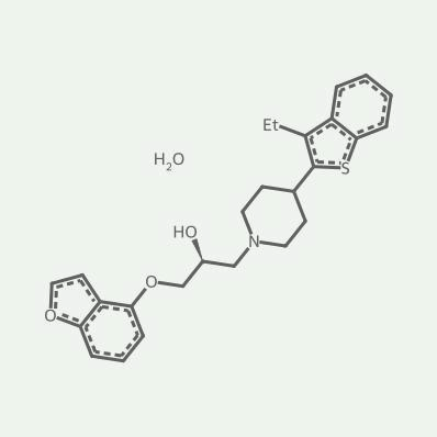 CCc1c(C2CCN(C[C@H](O)COc3cccc4occc34)CC2)sc2ccccc12.O